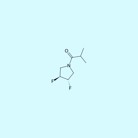 CC(C)C(=O)N1C[C@H](F)[C@@H](F)C1